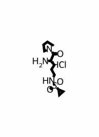 Cl.NC(CCCNS(=O)(=O)C1CC1)C(=O)N1CCCC1